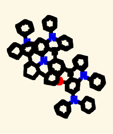 C1=CCC(N(c2ccccc2)c2cc3c4c(c2)N(C2C(c5ccccc5)=CCCC2c2ccccc2)c2cc5c(cc2B4c2ccccc2N3c2ccccc2)B2c3ccccc3N(c3ccccc3)c3cc(N(C4=CCCC=C4)c4ccccc4)cc(c32)O5)C=C1